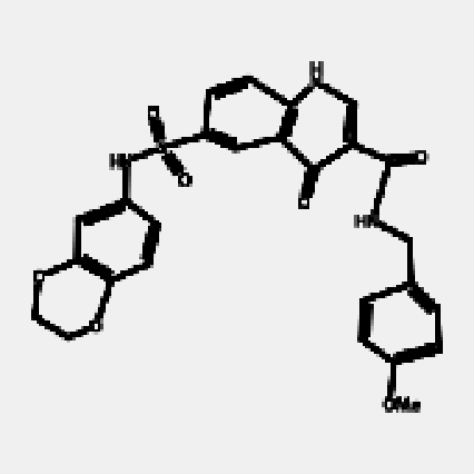 COc1ccc(CNC(=O)c2c[nH]c3ccc(S(=O)(=O)Nc4ccc5c(c4)OCCO5)cc3c2=O)cc1